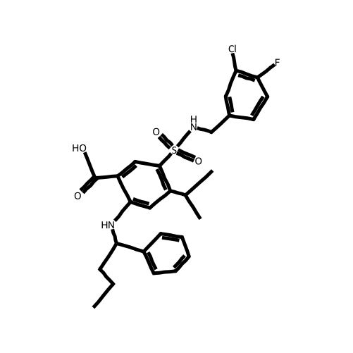 CCCC(Nc1cc(C(C)C)c(S(=O)(=O)NCc2ccc(F)c(Cl)c2)cc1C(=O)O)c1ccccc1